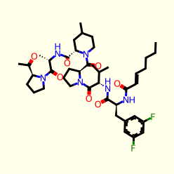 CCCC/C=C/C(=O)N[C@@H](Cc1cc(F)cc(F)c1)C(=O)N[C@H](C(=O)N1CCC[C@H]1C(=O)N1CCC(C)C[C@H]1C(=O)N[C@@H](C)C(=O)N1CCC[C@H]1C(C)=O)C(C)C